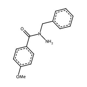 COc1ccc(C(=O)N(N)Cc2ccccc2)cc1